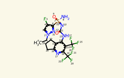 CCn1cc(F)c([S@@](N)(=O)=NC(=O)Nc2c3c(nc(C(F)(F)F)c2C(F)(F)F)CCC3)n1